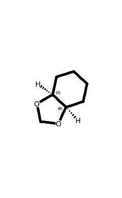 C1CC[C@H]2OCO[C@H]2C1